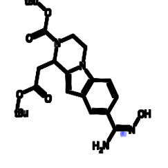 CC(C)(C)OC(=O)CC1c2cc3cc(/C(N)=N\O)ccc3n2CCN1C(=O)OC(C)(C)C